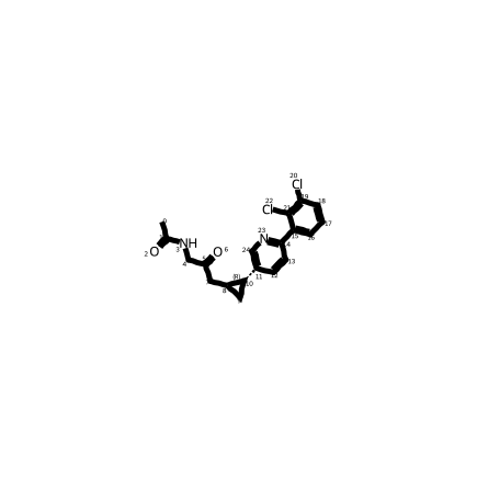 CC(=O)NCC(=O)CC1C[C@H]1c1ccc(-c2cccc(Cl)c2Cl)nc1